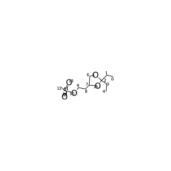 CCC1(CC)OCC(CCOS(C)(=O)=O)O1